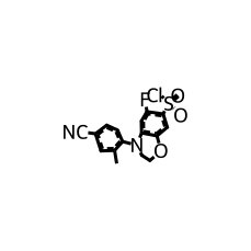 Cc1cc(C#N)ccc1N1CCOc2cc(S(=O)(=O)Cl)c(F)cc21